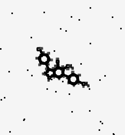 Cc1ccc(-c2cc3onc(-c4ccc(Cl)cc4)c3c(=O)n2C)cc1